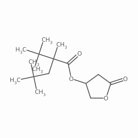 CC(C)(C)CC(C)(C(=O)OC1COC(=O)C1)C(C)(C)C